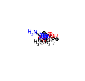 CC(C)C[C@H](NC(=O)[C@@H](N)CCCCN)C(=O)N[C@H](C(=O)N[C@@H](Cc1ccccc1)C(=O)N[C@@H](Cc1ccc(-c2ccccc2)cc1)C(=O)O)C(C)C